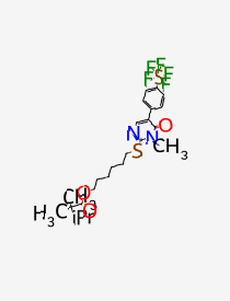 CC(C)C(C)(C)C(=O)OCCCCCCSc1ncc(-c2ccc(S(F)(F)(F)(F)F)cc2)c(=O)n1C